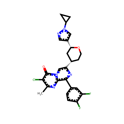 Cc1nc2c(-c3ccc(F)c(F)c3)nc([C@H]3CCO[C@@H](c4cnn(C5CC5)c4)C3)cn2c(=O)c1Cl